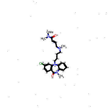 CON(C)C(=O)/C=C/CN(C)CCCCN1c2cc(Cl)ccc2C(=O)N(C)c2ccccc21